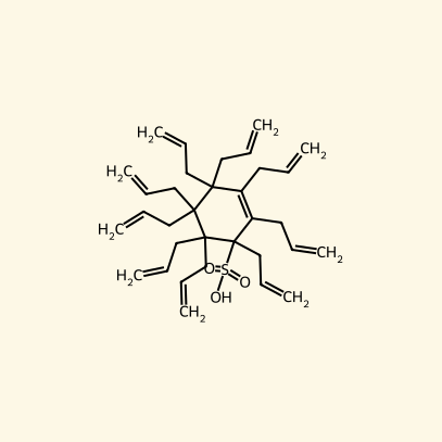 C=CCC1=C(CC=C)C(CC=C)(S(=O)(=O)O)C(CC=C)(CC=C)C(CC=C)(CC=C)C1(CC=C)CC=C